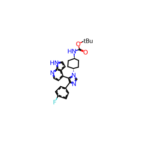 CC(C)(C)OC(=O)N[C@H]1CC[C@H](n2cnc(-c3ccc(F)cc3)c2-c2ccnc3[nH]ccc23)CC1